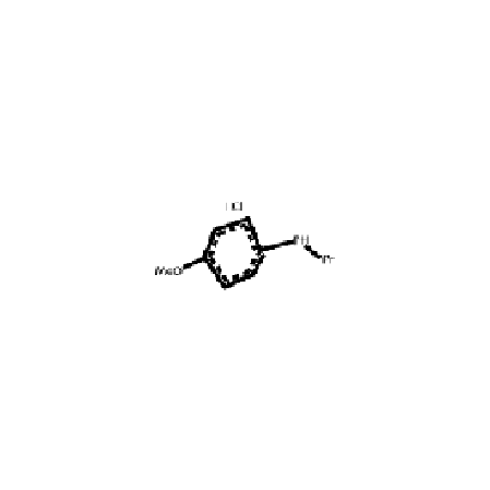 COc1ccc(PC(C)C)cc1.Cl